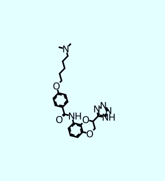 CN(C)CCCCCOc1ccc(C(=O)Nc2cccc3c2OC(c2nnn[nH]2)CO3)cc1